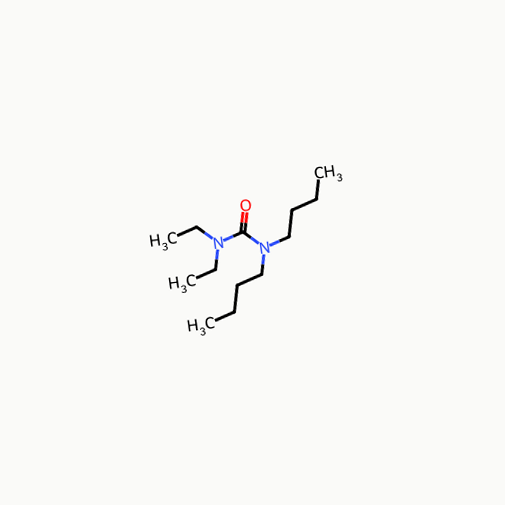 CCCCN(CCCC)C(=O)N(CC)CC